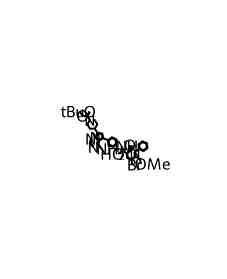 COCc1c(Br)cc(C(O)Nc2ccc(-c3cc(C4CCN(C(=O)OC(C)(C)C)CC4)n4ncnc(N)c34)cc2)c(=O)n1-c1ccccc1